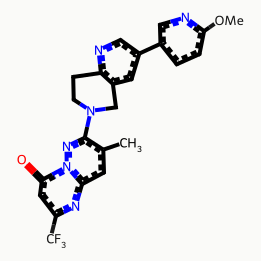 COc1ccc(-c2cnc3c(c2)CN(c2nn4c(=O)cc(C(F)(F)F)nc4cc2C)CC3)cn1